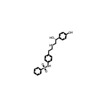 O=S(=O)(Nc1ccc(CCNC[C@H](O)c2ccc(O)cc2)cc1)c1ccccc1